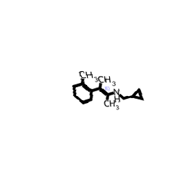 CC1=C(/C(C)=C(\C)NCC2CC2)CCCC1